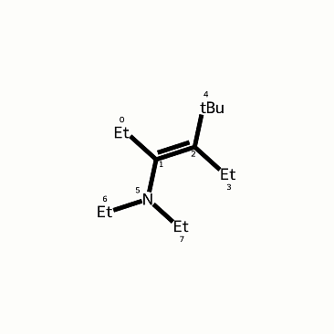 CC/C(=C(/CC)C(C)(C)C)N(CC)CC